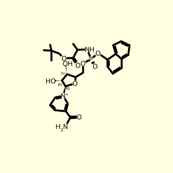 CC(NP(=O)(OCC1O[C@@H]([n+]2cccc(C(N)=O)c2)[C@H](O)[C@@H]1O)Oc1cccc2ccccc12)C(=O)OCC(C)(C)C